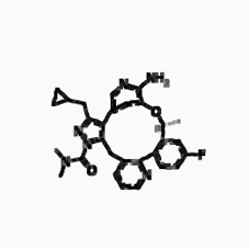 C[C@H]1Oc2cc(cnc2N)-c2c(CC3CC3)nn(C(=O)N(C)C)c2Cc2cccnc2-c2ccc(F)cc21